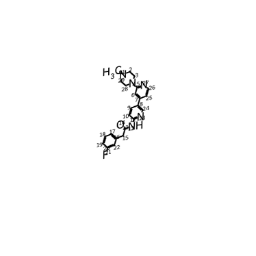 CN1CCN(c2cc(-c3ccc(NC(=O)Cc4cccc(F)c4)nc3)ccn2)CC1